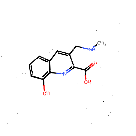 CNCc1cc2cccc(O)c2nc1C(=O)O